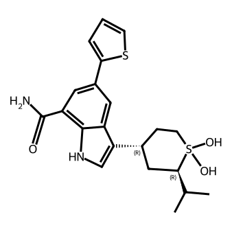 CC(C)[C@H]1C[C@H](c2c[nH]c3c(C(N)=O)cc(-c4cccs4)cc23)CCS1(O)O